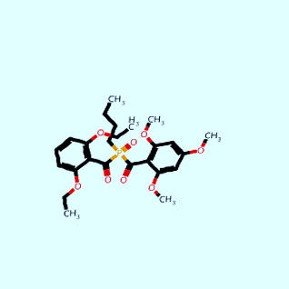 CCCCP(=O)(C(=O)c1c(OC)cc(OC)cc1OC)C(=O)c1c(OCC)cccc1OCC